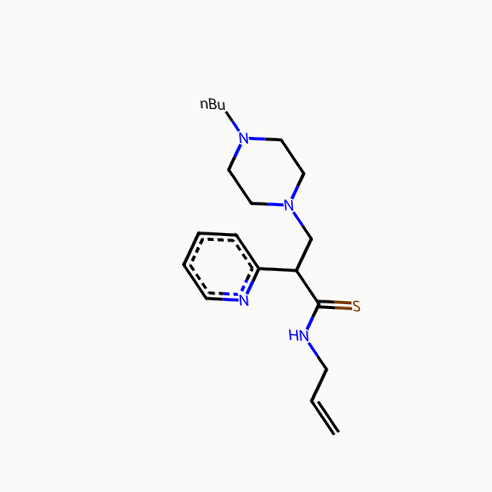 C=CCNC(=S)C(CN1CCN(CCCC)CC1)c1ccccn1